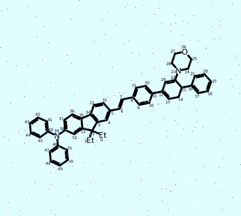 CCC1(CC)c2cc(/C=C/c3ccc(C4=CCC(c5ccccc5)C(N5CCOCC5)=C4)cc3)ccc2-c2ccc(N(c3ccccc3)c3ccccc3)cc21